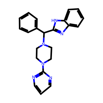 c1ccc(C(c2nc3ccccc3[nH]2)N2CCN(c3ncccn3)CC2)cc1